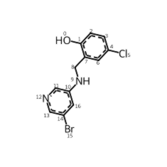 Oc1ccc(Cl)cc1CNc1cncc(Br)c1